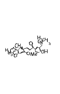 C=CC(C)(C)c1cc(C=CC(=O)c2ccc(O)c(CN(C)C)c2)c(OC)cc1Cl